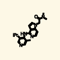 Cc1cncc(C(C)C)c1Nc1nccc2c1ccn2CC(=O)N(C)C